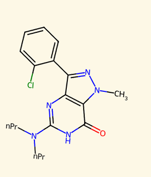 CCCN(CCC)c1nc2c(-c3ccccc3Cl)nn(C)c2c(=O)[nH]1